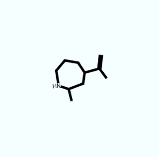 C=C(C)C1CCCNC(C)C1